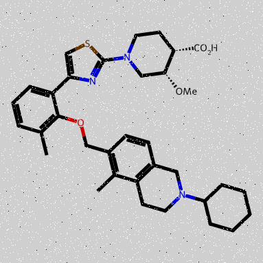 CO[C@@H]1CN(c2nc(-c3cccc(C)c3OCc3ccc4c(c3C)CCN(C3CCCCC3)C4)cs2)CC[C@@H]1C(=O)O